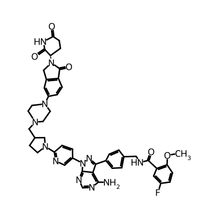 COc1ccc(F)cc1C(=O)NCc1ccc(-c2nn(-c3ccc(N4CCC(CN5CCN(c6ccc7c(c6)CN([C@H]6CCC(=O)NC6=O)C7=O)CC5)C4)nc3)c3ncnc(N)c23)cc1